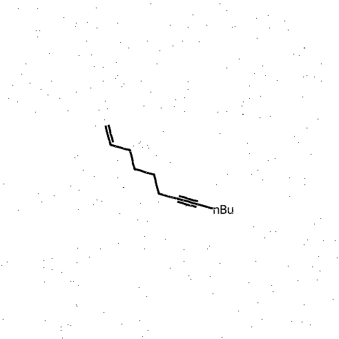 C=CCCCCC#CCCCC